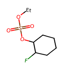 CCOS(=O)(=O)OC1CCCCC1F